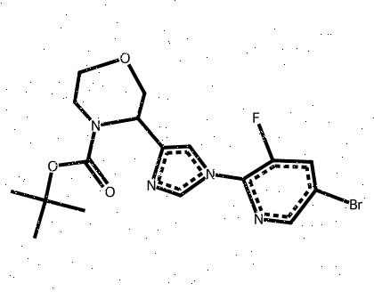 CC(C)(C)OC(=O)N1CCOCC1c1cn(-c2ncc(Br)cc2F)cn1